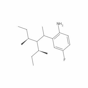 CC[C@H](C)C(C(C)c1cc(F)ccc1N)[C@@H](C)CC